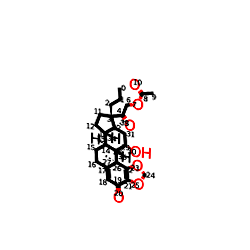 CCC[C@]1(C(=O)COC(C)=O)CC[C@H]2[C@@H]3CCC4=CC(=O)C5=C(OCO5)[C@]4(C)[C@H]3[C@@H](O)C[C@@]21C